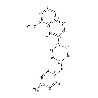 O=Cc1cccc2ccc(N3CCC(Sc4ccc(Cl)cc4)CC3)nc12